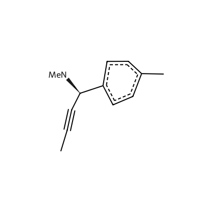 CC#C[C@@H](NC)c1ccc(C)cc1